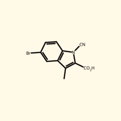 Cc1c(C(=O)O)n(C#N)c2ccc(Br)cc12